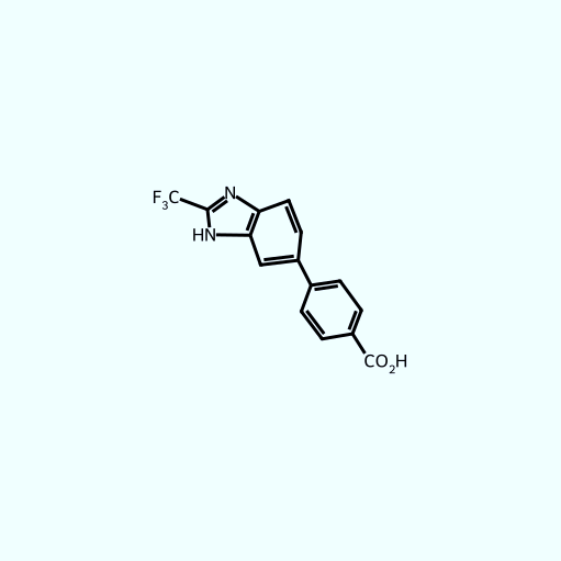 O=C(O)c1ccc(-c2ccc3nc(C(F)(F)F)[nH]c3c2)cc1